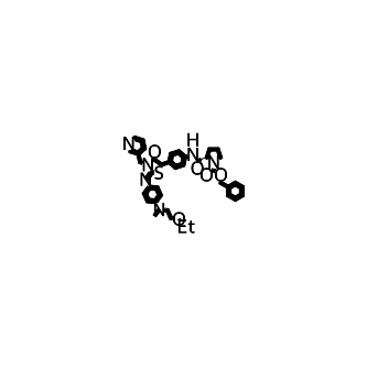 CCOCCN(C)c1ccc(/N=C2\SC(c3ccc(NC(=O)[C@@H]4CCCN4C(=O)OCc4ccccc4)cc3)C(=O)N2Cc2cccnc2)cc1